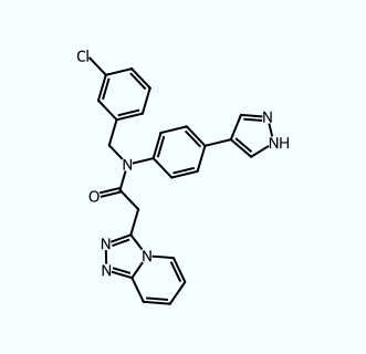 O=C(Cc1nnc2ccccn12)N(Cc1cccc(Cl)c1)c1ccc(-c2cn[nH]c2)cc1